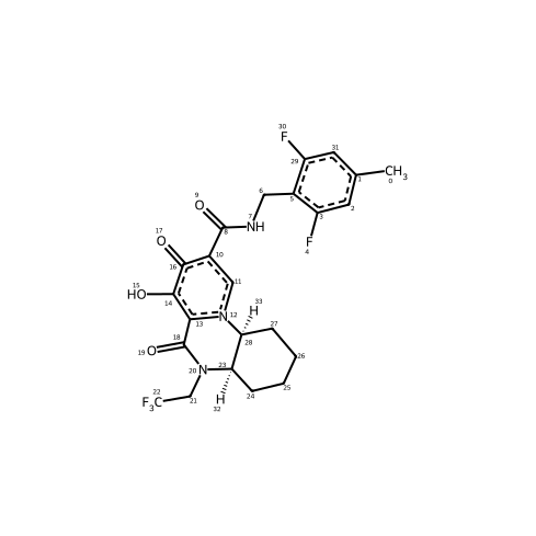 Cc1cc(F)c(CNC(=O)c2cn3c(c(O)c2=O)C(=O)N(CC(F)(F)F)[C@@H]2CCCC[C@@H]23)c(F)c1